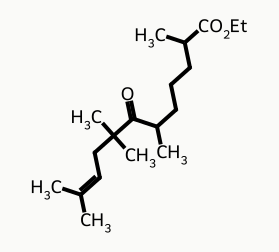 CCOC(=O)C(C)CCCC(C)C(=O)C(C)(C)CC=C(C)C